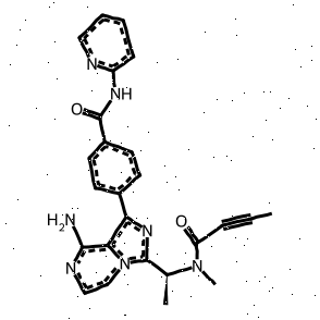 CC#CC(=O)N(C)[C@@H](C)c1nc(-c2ccc(C(=O)Nc3ccccn3)cc2)c2c(N)nccn12